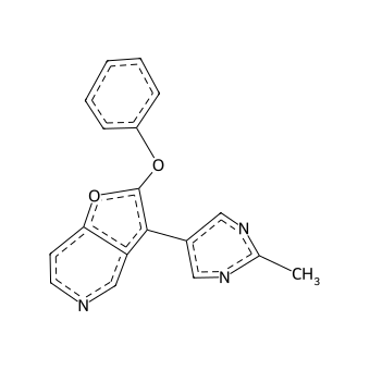 Cc1ncc(-c2c(Oc3ccccc3)oc3ccncc23)cn1